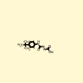 CC(C)(C)c1ccc(NC(=O)N=NC(=O)O)cc1